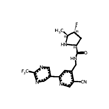 C[C@@H]1N[C@H](C(=O)NCc2cc(-c3cnc(C(F)(F)F)nc3)ncc2C#N)C[C@H]1F